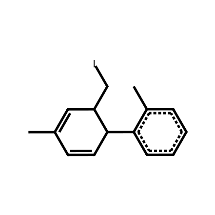 CC1=CC(CI)C(c2ccccc2C)C=C1